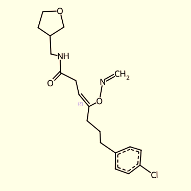 C=NO/C(=C\CC(=O)NCC1CCOC1)CCCc1ccc(Cl)cc1